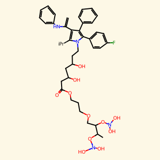 C=C(Nc1ccccc1)c1c(-c2ccccc2)c(-c2ccc(F)cc2)n(CCC(O)CC(O)CC(=O)OCCCOCC(ON(O)O)C(C)ON(O)O)c1C(C)C